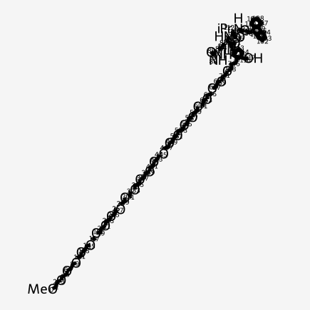 COCCOCCOCCOCCOCCOCCOCCOCCOCCOCCOCCOCCOCCOCCOCCOCCOCCOCCOCCOCCOCCOCCOCCOCCOCCCc1cc(NC(=O)[C@H](CCCNC(N)=O)NC(=O)[C@@H](NC(=O)OCC2c3ccccc3-c3ccccc32)C(C)C)ccc1CO